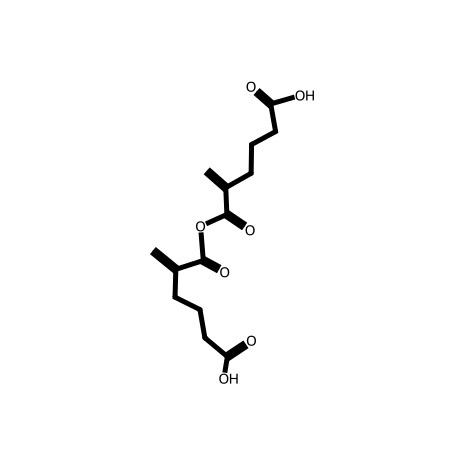 C=C(CCCC(=O)O)C(=O)OC(=O)C(=C)CCCC(=O)O